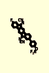 N#C/N=c1\c2cc(F)ccc2c2cc3/c(=N/C#N)c4cc(-c5ccc(OC(F)(F)F)cc5)ccc4c3cc12